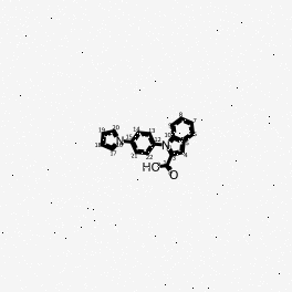 O=C(O)c1cc2ccccc2n1-c1ccc(-n2cccc2)cc1